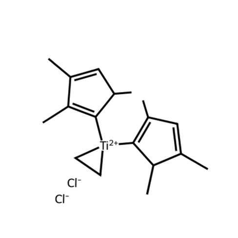 CC1=CC(C)[C]([Ti+2]2([C]3=C(C)C=C(C)C3C)[CH2][CH2]2)=C1C.[Cl-].[Cl-]